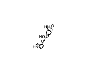 O=C1NCC2(CCN(CC(O)COc3cccc4[nH]ccc34)CC2)O1